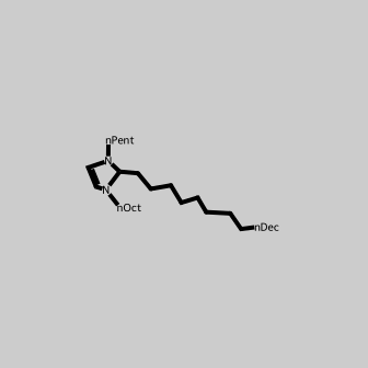 CCCCCCCCCCCCCCCCCCC1N(CCCCC)C=CN1CCCCCCCC